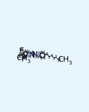 CCCCCCCc1ccc(/C=N/N=C/c2cc(F)c(CC)c(F)c2)cc1